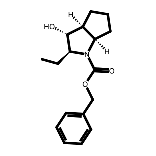 CC[C@H]1[C@H](O)[C@H]2CCC[C@H]2N1C(=O)OCc1ccccc1